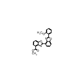 COC(=O)c1cccc2oc(-c3cccc4oc(-c5ccccc5OC)nc34)nc12